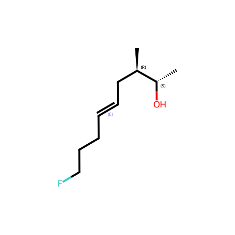 C[C@H](O)[C@H](C)C/C=C/CCCF